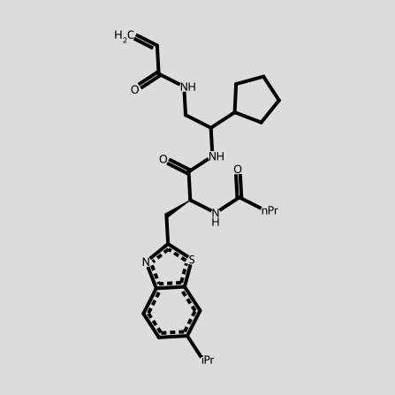 C=CC(=O)NCC(NC(=O)[C@H](Cc1nc2ccc(C(C)C)cc2s1)NC(=O)CCC)C1CCCC1